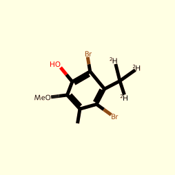 [2H]C([2H])([2H])c1c(Br)c(C)c(OC)c(O)c1Br